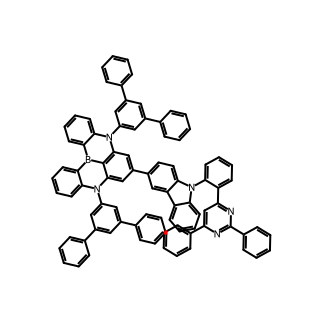 c1ccc(-c2cc(-c3ccccc3)cc(N3c4ccccc4B4c5ccccc5N(c5cc(-c6ccccc6)cc(-c6ccccc6)c5)c5cc(-c6ccc7c(c6)c6ccccc6n7-c6ccccc6-c6cc(-c7ccccc7)nc(-c7ccccc7)n6)cc3c54)c2)cc1